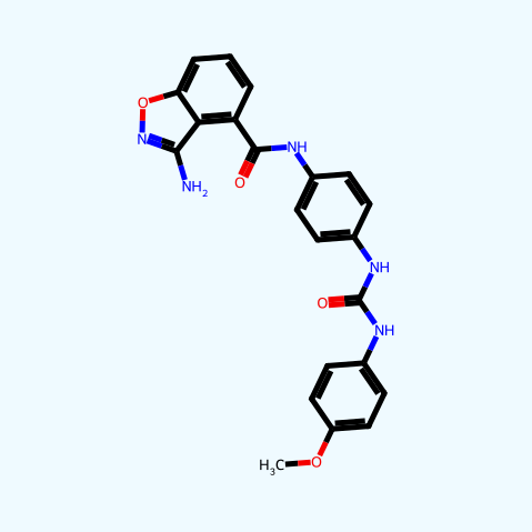 COc1ccc(NC(=O)Nc2ccc(NC(=O)c3cccc4onc(N)c34)cc2)cc1